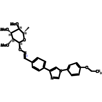 CO[C@@H]1[C@@H](OC)[C@H](C)O[C@@H](O/N=C/c2ccc(-c3cn(-c4ccc(OCC(F)(F)F)cc4)cn3)cc2)[C@@H]1OC